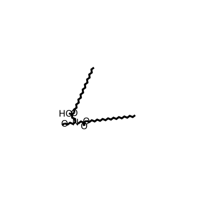 CCCCCCCCCCCCCCCCCCOC(=O)CCN(CCCOC)CCC(O)OCCCCCCCCCCCCCCCCCC